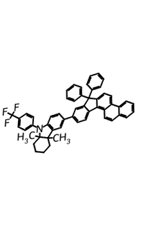 CC12CCCCC1(C)N(c1ccc(C(F)(F)F)cc1)c1ccc(-c3ccc4c(c3)C(c3ccccc3)(c3ccccc3)c3ccc5c(ccc6ccccc65)c3-4)cc12